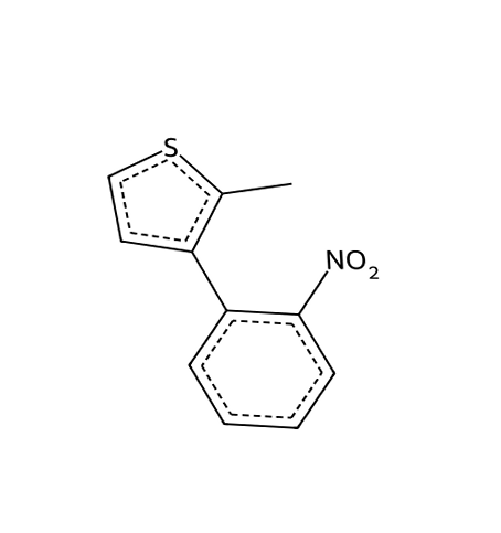 Cc1sccc1-c1ccccc1[N+](=O)[O-]